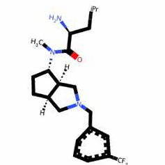 CC(C)C[C@H](N)C(=O)N(C)[C@H]1CC[C@@H]2CN(Cc3cccc(C(F)(F)F)c3)C[C@@H]21